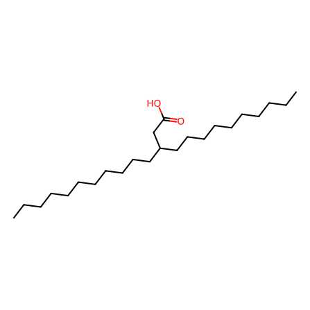 CCCCCCCCCCCC(CCCCCCCCCC)CC(=O)O